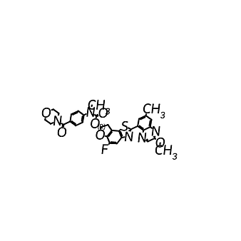 COc1cnc2c(-c3nc4cc(F)c5c(c4s3)C[C@@H](OC(=O)N(C)c3ccc(C(=O)N4CCOCC4)cc3)O5)cc(C)cc2n1